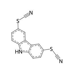 N#CSc1ccc2[nH]c3ccc(SC#N)cc3c2c1